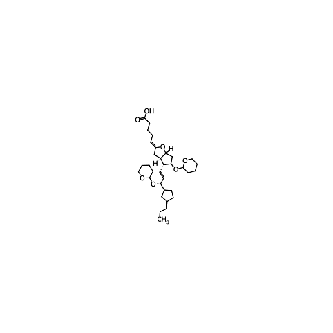 CCCC1CCC([C@@H](/C=C/[C@@H]2[C@H]3C/C(=C/CCCC(=O)O)O[C@@H]3C[C@H]2OC2CCCCO2)OC2CCCCO2)C1